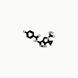 CCCCC(=O)N1Cc2c(NC(=O)c3ccc(F)cc3)n[nH]c2C12CC2